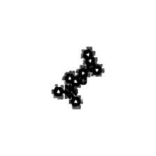 c1ccc(-c2nc(-c3ccccc3)nc(-c3cc4oc5cc(-n6c7ccccc7c7cc8ccccc8cc76)ccc5c4c4ccccc34)n2)cc1